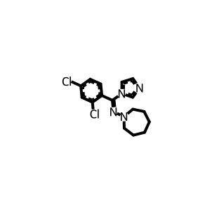 Clc1ccc(C(=NN2CCCCCC2)n2ccnc2)c(Cl)c1